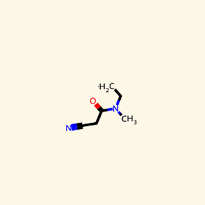 [CH2]CN(C)C(=O)CC#N